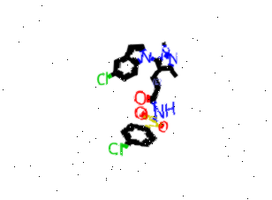 Cc1nn(C)c(-n2ccc3cc(Cl)ccc32)c1/C=C/C(=O)NS(=O)(=O)c1ccc(Cl)cc1